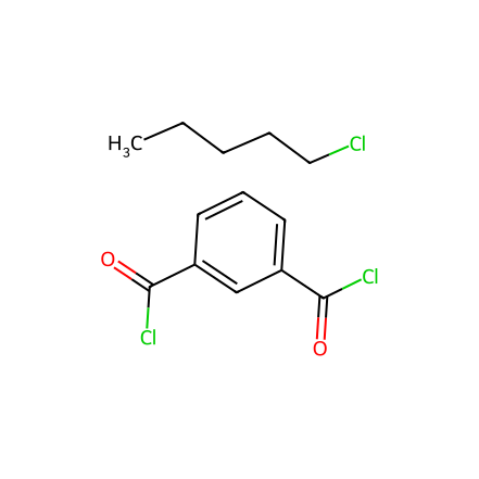 CCCCCCl.O=C(Cl)c1cccc(C(=O)Cl)c1